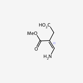 COC(=O)/C(=C\N)CC(=O)O